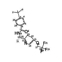 CC(C)c1ccc(C(=O)N[C@@H](C)C2=NC=C(OCC(F)(F)F)CC2)cc1